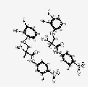 Cc1cc(NC(=O)C(C)(O)COc2cccc(F)c2F)ccc1[N+](=O)[O-].Cc1cc(NC(=O)C(C)(O)COc2cccc(F)c2F)ccc1[N+](=O)[O-]